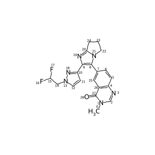 Cn1cnc2ccc(-c3c(-c4ccn(CC(F)F)n4)nc4n3CCC4)cc2c1=O